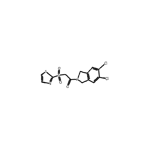 O=C(CS(=O)(=O)c1nccs1)N1Cc2cc(Cl)c(Cl)cc2C1